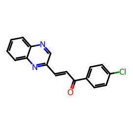 O=C(/C=C/c1cnc2ccccc2n1)c1ccc(Cl)cc1